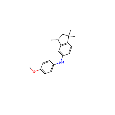 COc1ccc(Nc2ccc3c(c2)C(C)CC3(C)C)cc1